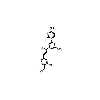 Cc1cc(C(/C=C/c2ccc(CN)c(Br)c2)C(F)(F)F)cc(-n2ccc(N)nc2=O)c1